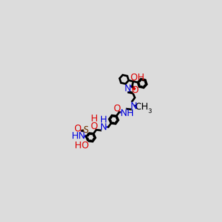 CN(CCNC(=O)c1ccc(CNC[C@H](O)c2ccc(O)c3[nH]c(=O)sc23)cc1)CCc1cnc([C@](O)(c2ccccc2)C2CCCCC2)o1